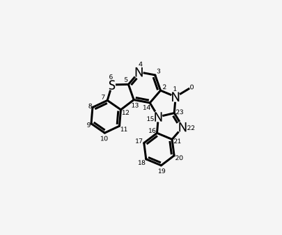 Cn1c2cnc3sc4ccccc4c3c2n2c3ccccc3nc12